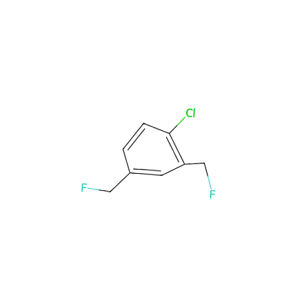 FCc1ccc(Cl)c(CF)c1